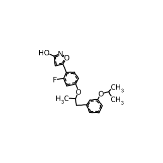 CC(C)Oc1cccc(CC(C)Oc2ccc(-c3cc(O)no3)c(F)c2)c1